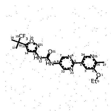 CCOc1cc(-c2ncc(NC(=O)Nc3cc(C(C)(C)C(F)(F)F)on3)cn2)cnc1C